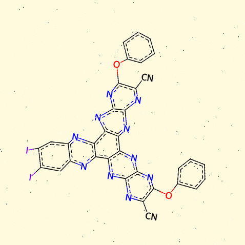 N#Cc1nc2nc3c4nc5cc(I)c(I)cc5nc4c4nc5nc(Oc6ccccc6)c(C#N)nc5nc4c3nc2nc1Oc1ccccc1